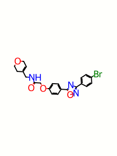 O=C(COc1ccc(-c2nc(-c3ccc(Br)cc3)no2)cc1)NCC1=CCOCC1